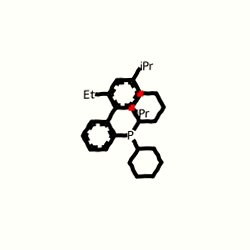 CCc1cc(C(C)C)cc(C(C)C)c1-c1ccccc1P(C1CCCCC1)C1CCCCC1